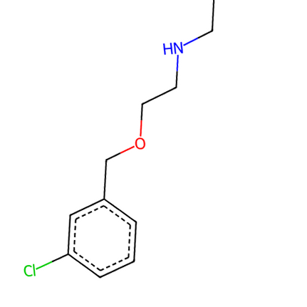 NCCNCCOCc1cccc(Cl)c1